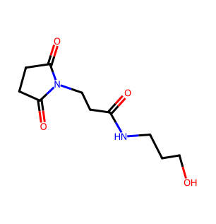 O=C(CCN1C(=O)CCC1=O)NCCCO